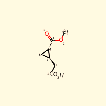 CCOC(=O)[C@H]1C[C@@H]1CC(=O)O